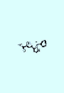 O=C(O)C(O)=CC(=O)c1ccnn1C(F)c1ccccc1